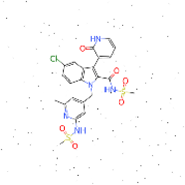 Cc1cc(Cn2c(C(=O)NS(C)(=O)=O)c(-c3ccc[nH]c3=O)c3cc(Cl)ccc32)cc(NS(C)(=O)=O)n1